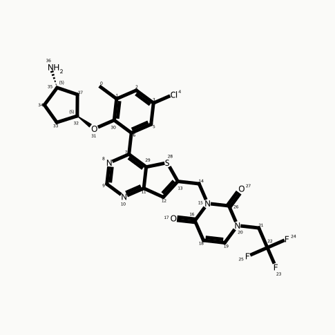 Cc1cc(Cl)cc(-c2ncnc3cc(Cn4c(=O)ccn(CC(F)(F)F)c4=O)sc23)c1O[C@H]1CC[C@H](N)C1